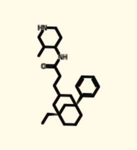 CC[C@@]12CCC[C@@](c3ccccc3)(CC(CCC(=O)NC3CCNCC3C)C1)C2